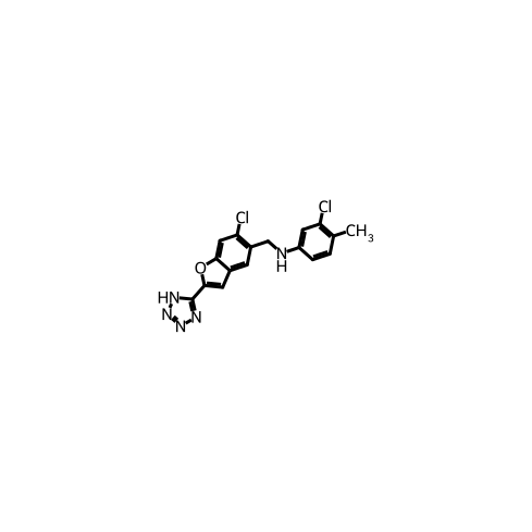 Cc1ccc(NCc2cc3cc(-c4nnn[nH]4)oc3cc2Cl)cc1Cl